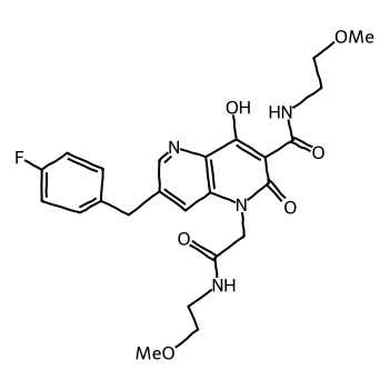 COCCNC(=O)Cn1c(=O)c(C(=O)NCCOC)c(O)c2ncc(Cc3ccc(F)cc3)cc21